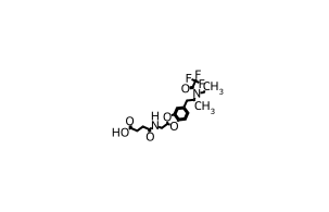 CCN(C(=O)C(F)(F)F)C(C)Cc1ccc2c(c1)OC(CNC(=O)CCC(=O)O)O2